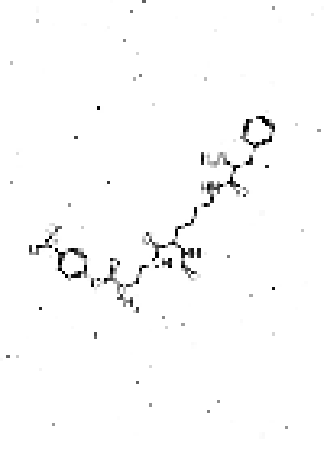 CN(CCNC(=O)C(CCCCNC(=O)C(N)Cc1ccccc1)NC=O)C(=O)Oc1ccc([N+](=O)[O-])cc1